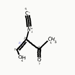 [C-]#[N+]/C(=C/O)C(C)=O